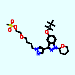 CC(C)(C)[Si](C)(C)Oc1ccc2c(c1)c(-c1cnn(CCCCOCCOS(C)(=O)=O)c1)nn2C1CCCCO1